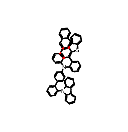 c1cc(-c2ccc3ccccc3c2)cc(N(c2ccc(-c3ccccc3-n3c4ccccc4c4ccccc43)cc2)c2ccccc2-c2cccc3c2sc2ccccc23)c1